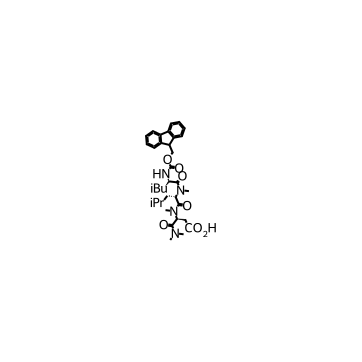 CC[C@H](C)[C@H](NC(=O)OCC1c2ccccc2-c2ccccc21)C(=O)N(C)[C@@H](CC(C)C)C(=O)N(C)[C@@H](CC(=O)O)C(=O)N(C)C